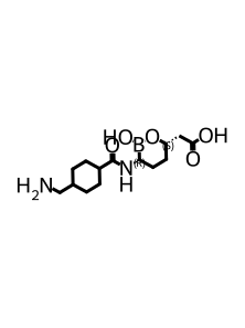 NCC1CCC(C(=O)N[C@H]2CC[C@@H](CC(=O)O)OB2O)CC1